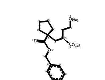 CCOC(=O)[C@H](CCOC)CC1(C(=O)OCc2ccccc2)CCCC1